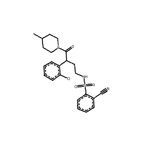 CC1CCN(C(=O)C(CCNS(=O)(=O)c2ccccc2C#N)c2ccccc2Cl)CC1